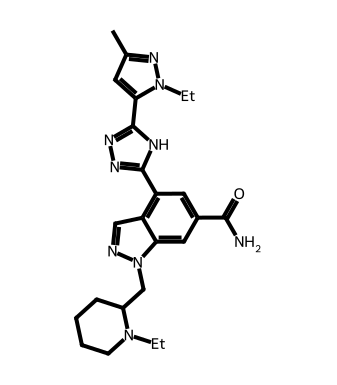 CCN1CCCCC1Cn1ncc2c(-c3nnc(-c4cc(C)nn4CC)[nH]3)cc(C(N)=O)cc21